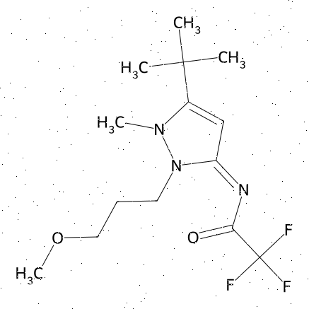 COCCCn1/c(=N\C(=O)C(F)(F)F)cc(C(C)(C)C)n1C